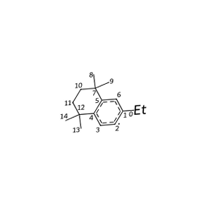 CCc1[c]cc2c(c1)C(C)(C)CCC2(C)C